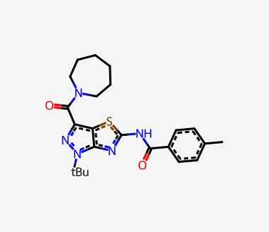 Cc1ccc(C(=O)Nc2nc3c(s2)c(C(=O)N2CCCCCC2)nn3C(C)(C)C)cc1